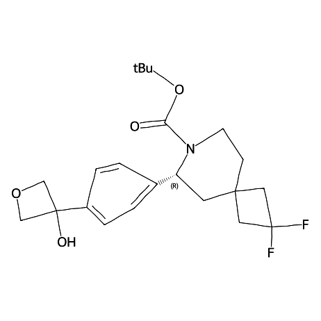 CC(C)(C)OC(=O)N1CCC2(C[C@@H]1c1ccc(C3(O)COC3)cc1)CC(F)(F)C2